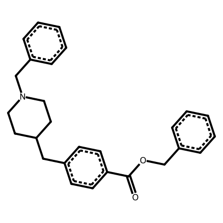 O=C(OCc1ccccc1)c1ccc(CC2CCN(Cc3ccccc3)CC2)cc1